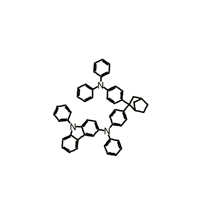 c1ccc(N(c2ccccc2)c2ccc(C3(c4ccc(N(c5ccccc5)c5ccc6c(c5)c5ccccc5n6-c5ccccc5)cc4)CC4CCC3C4)cc2)cc1